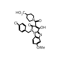 COc1ccc2c(c1)nc1c(O)c(C(=O)N3CCC(C(=O)O)CC3)c(=O)n(Cc3ccc(Cl)cc3)n12